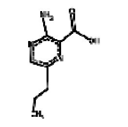 CCCc1cnc(N)c(C(=O)O)n1